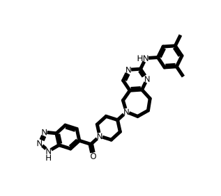 Cc1cc(C)cc(Nc2ncc3c(n2)CCCN(C2CCN(C(=O)c4ccc5nn[nH]c5c4)CC2)C3)c1